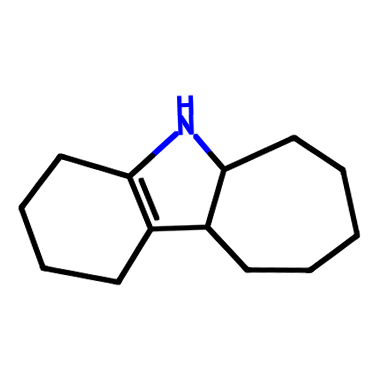 C1CCC2NC3=C(CCCC3)C2CC1